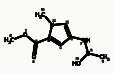 COC(=O)c1cc(NB(C)O)cn1C